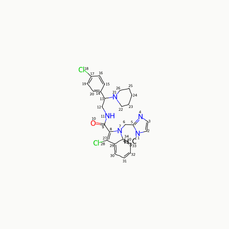 Cn1ccnc1Cn1c(C(=O)NCC(c2ccc(Cl)cc2)N2CCCCC2)c(Cl)c2ccccc21